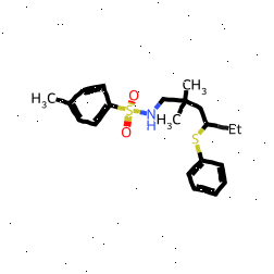 CCC(CC(C)(C)CNS(=O)(=O)c1ccc(C)cc1)Sc1ccccc1